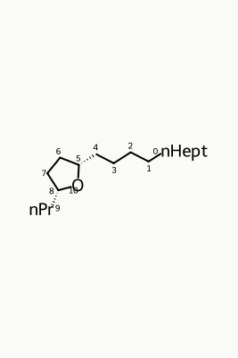 CCCCCCCCCCC[C@H]1CC[C@@H](CCC)O1